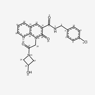 O=C(NCc1ccc(Cl)cc1)c1cc2cccnc2n(CC(=O)N2CC(O)C2)c1=O